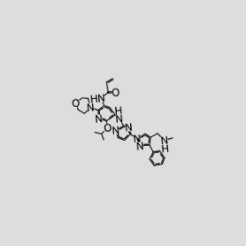 C=CC(=O)Nc1cc(Nc2nccc(-n3cc(CNC)c(-c4ccccc4)n3)n2)c(OC(C)C)nc1N1CCOCC1